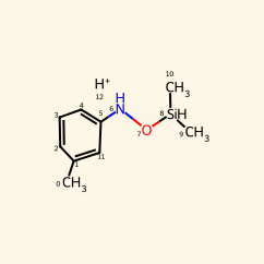 Cc1cccc(NO[SiH](C)C)c1.[H+]